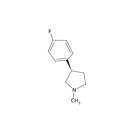 CN1CC[C@H](c2ccc(F)cc2)C1